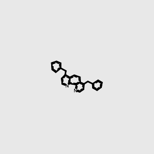 c1ccc(Cc2ccnc3c2ccc2c(Cc4ccccc4)ccnc23)cc1